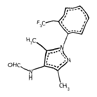 Cc1nn(-c2ccccc2C(F)(F)F)c(C)c1NC=O